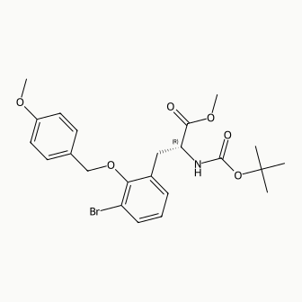 COC(=O)[C@@H](Cc1cccc(Br)c1OCc1ccc(OC)cc1)NC(=O)OC(C)(C)C